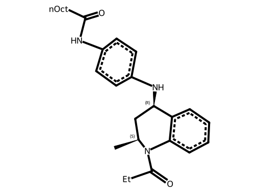 CCCCCCCCC(=O)Nc1ccc(N[C@@H]2C[C@H](C)N(C(=O)CC)c3ccccc32)cc1